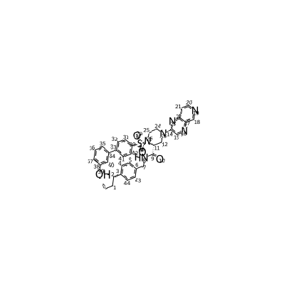 CCCc1ccc(CNC(=O)[C@H]2CN(c3cnc4cnccc4n3)CCN2S(=O)(=O)c2ccc(-c3cccc(O)c3)cc2)cc1